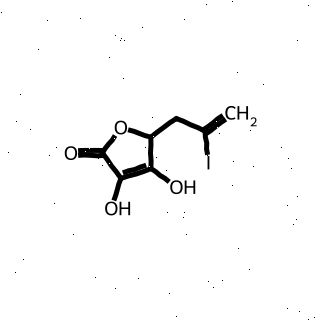 C=C(I)CC1OC(=O)C(O)=C1O